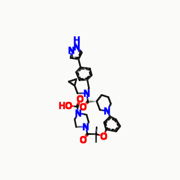 CC(C)(Oc1cccc(N2CCC[C@@H](C(=O)N(Cc3ccc(-c4cn[nH]c4)cc3)CC3CC3)C2)c1)C(=O)N1CCN(C(=O)O)CC1